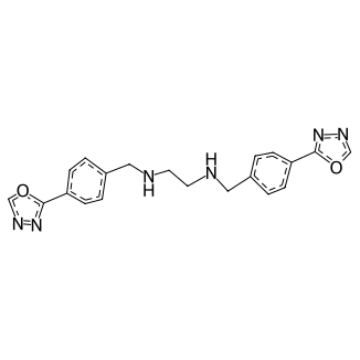 c1nnc(-c2ccc(CNCCNCc3ccc(-c4nnco4)cc3)cc2)o1